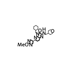 COc1ncc(-c2ccc3nc(NCC4CCOCC4)c(=O)n(CC4CCCCC4)c3n2)cn1